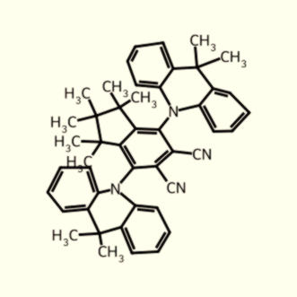 CC1(C)c2ccccc2N(c2c(C#N)c(C#N)c(N3c4ccccc4C(C)(C)c4ccccc43)c3c2C(C)(C)C(C)(C)C3(C)C)c2ccccc21